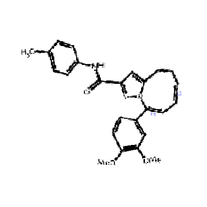 COc1ccc(/C2=C/C=C\CCc3cc(C(=O)Nc4ccc(C)cc4)nn32)cc1OC